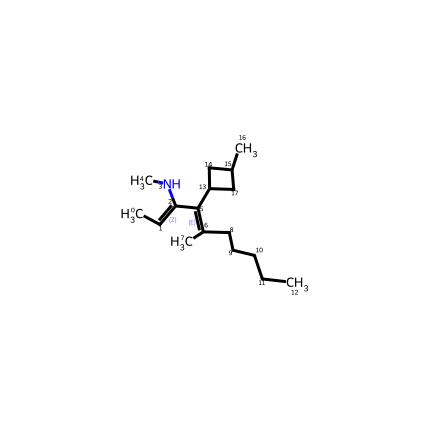 C/C=C(NC)/C(=C(\C)CCCCC)C1CC(C)C1